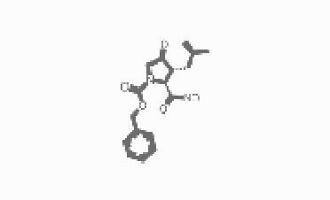 C=C(C)C[C@H]1C(=O)CN(C(=O)OCc2ccccc2)[C@@H]1C(=O)N=O